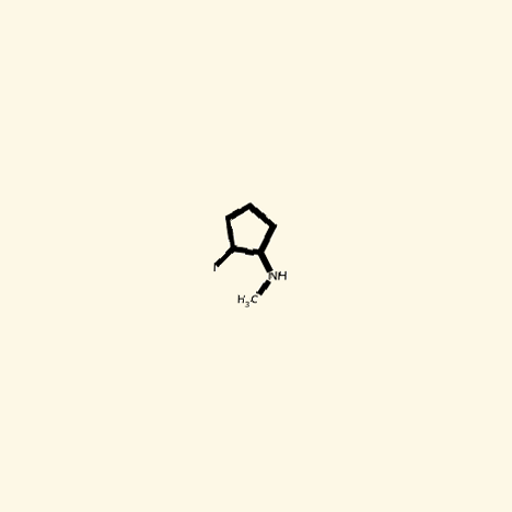 CNC1CCCC1I